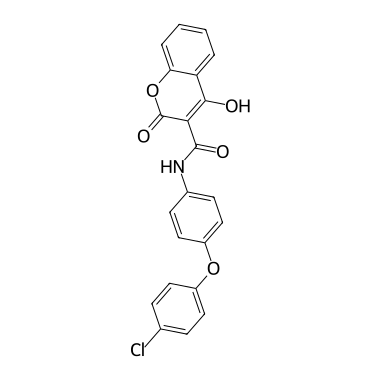 O=C(Nc1ccc(Oc2ccc(Cl)cc2)cc1)c1c(O)c2ccccc2oc1=O